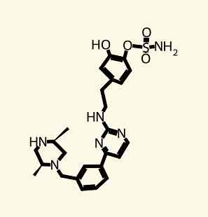 C[C@H]1CN(Cc2cccc(-c3ccnc(NCCc4ccc(OS(N)(=O)=O)c(O)c4)n3)c2)[C@@H](C)CN1